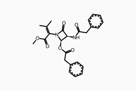 COC(=O)C(=C(C)C)N1C(=O)[C@@H](NC(=O)Cc2ccccc2)[C@H]1OC(=O)Cc1ccccc1